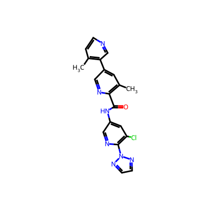 Cc1ccncc1-c1cnc(C(=O)Nc2cnc(-n3nccn3)c(Cl)c2)c(C)c1